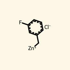 Fc1cccc([CH2][Zn+])c1.[Cl-]